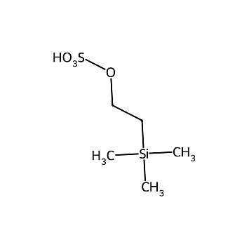 C[Si](C)(C)CCOS(=O)(=O)O